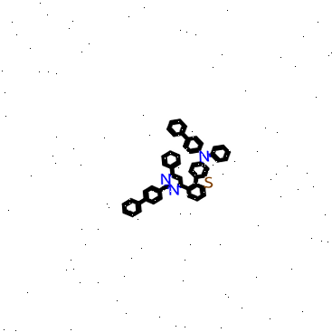 C1=CC(c2cc(-c3cccc4sc5cc(N(c6ccccc6)c6ccc(-c7ccccc7)cc6)ccc5c34)nc(-c3ccc(-c4ccccc4)cc3)n2)=CCC1